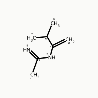 C=C(NC(C)=N)C(C)C